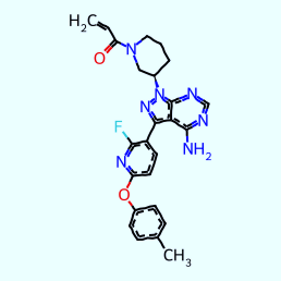 C=CC(=O)N1CCC[C@@H](n2nc(-c3ccc(Oc4ccc(C)cc4)nc3F)c3c(N)ncnc32)C1